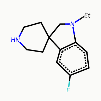 CCN1CC2(CCNCC2)c2cc(F)ccc21